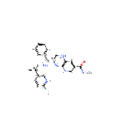 CCNC(=O)c1cnc2c(c1)NC[C@H]([C@H](NC[C@H](C)c1ccc(Cl)nc1)c1ccccc1)N2